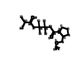 CC(C)OCC1CCCN1C(=O)CC(C)(C)C(C)(C)CC(=O)C(C)I